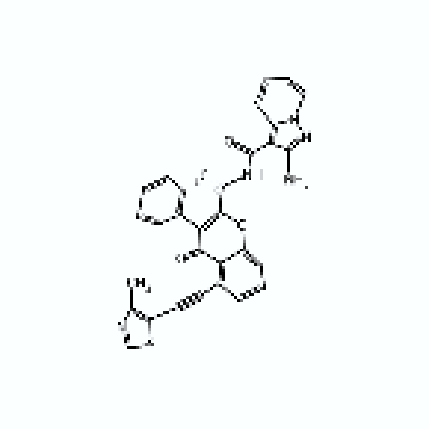 Cc1ncsc1C#Cc1cccc2oc([C@H](C)NC(=O)c3c(N)nn4cccnc34)c(-c3ccccc3)c(=O)c12